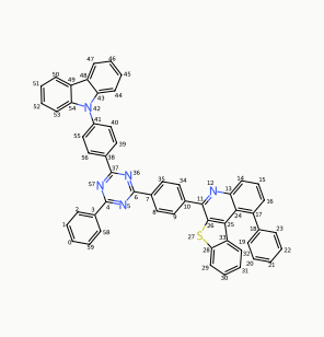 c1ccc(-c2nc(-c3ccc(-c4nc5cccc(-c6ccccc6)c5c5c4sc4ccccc45)cc3)nc(-c3ccc(-n4c5ccccc5c5ccccc54)cc3)n2)cc1